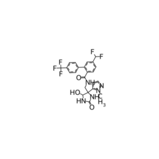 Cn1nccc1C1(CNC(=O)c2ccc(C(F)F)cc2-c2ccc(C(F)(F)F)cc2)NC(=O)NC1O